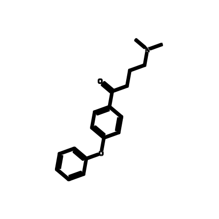 CN(C)CCCC(=O)c1ccc(Oc2ccccc2)cc1